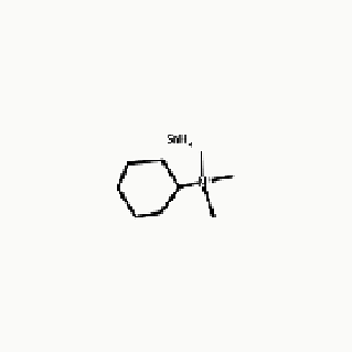 C[N+](C)(C)C1CCCCC1.[SnH4]